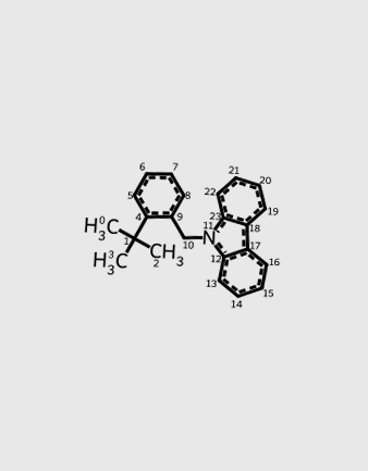 CC(C)(C)c1ccccc1Cn1c2ccccc2c2ccccc21